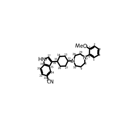 COc1ccccc1N1CCCN(C2CCC(c3c[nH]c4ccc(C#N)cc34)CC2)CC1